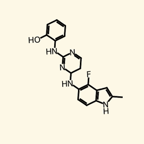 Cc1cc2c(F)c(NC3CC=NC(Nc4ccccc4O)=N3)ccc2[nH]1